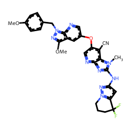 COc1ccc(Cn2nc(OC)c3cc(Oc4cnc5nc(Nc6cc7n(n6)CCCC7(F)F)n(C)c5c4C#N)cnc32)cc1